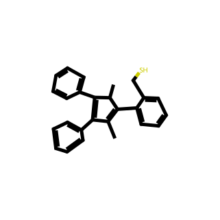 CC1=C(c2ccccc2CS)C(C)C(c2ccccc2)=C1c1ccccc1